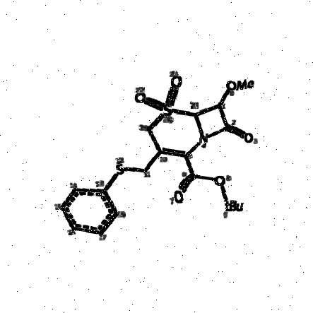 COC1C(=O)N2C(C(=O)OC(C)(C)C)=C(CSc3ccccc3)CS(=O)(=O)C12